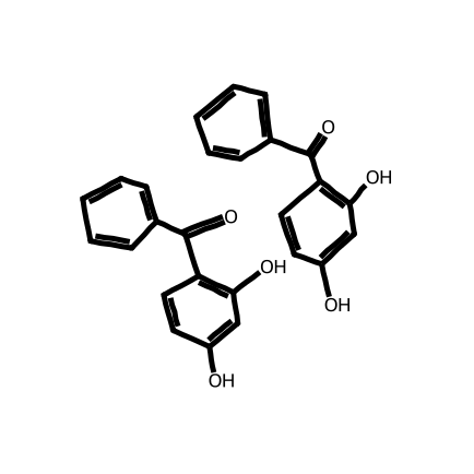 O=C(c1ccccc1)c1ccc(O)cc1O.O=C(c1ccccc1)c1ccc(O)cc1O